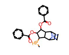 CPC1C(OC(=O)c2ccccc2)C(OC(=O)c2ccccc2)C2C1C1CCC2[N+]12CC2